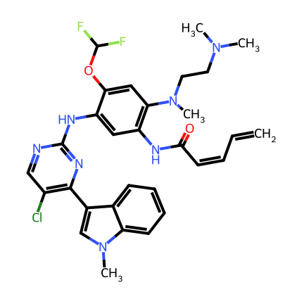 C=C/C=C\C(=O)Nc1cc(Nc2ncc(Cl)c(-c3cn(C)c4ccccc34)n2)c(OC(F)F)cc1N(C)CCN(C)C